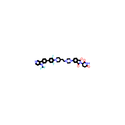 O=C1CCC(N2C(=O)c3ccc(N4CCN(CCC5CCN(c6c(F)cc(-c7ccc8c9cnccc9n(C(F)F)c8c7)cc6F)CC5)CC4)cc3C2=O)C(=O)N1